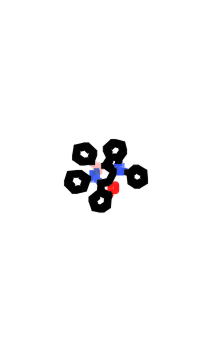 c1ccc(B2c3c(n(-c4ccccc4)c4ccccc34)-c3oc4ccccc4c3N2c2ccccc2)cc1